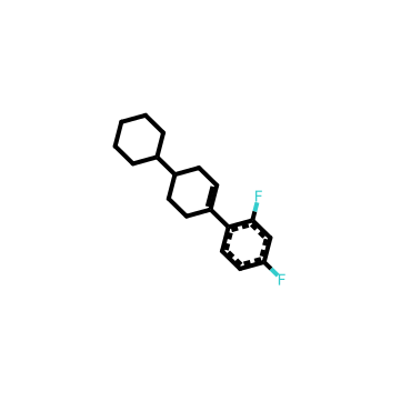 Fc1ccc(C2=CCC(C3CCCCC3)CC2)c(F)c1